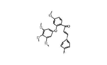 COc1ccc(C(=O)/C=C/c2ccc(F)cc2)c(Oc2cc(OC)c(OC)c(OC)c2)c1